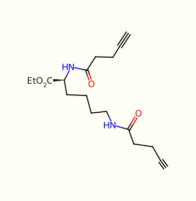 C#CCCC(=O)NCCCC[C@H](NC(=O)CCC#C)C(=O)OCC